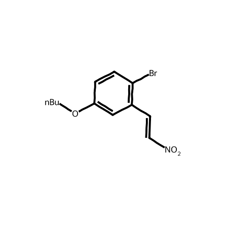 CCCCOc1ccc(Br)c(/C=C/[N+](=O)[O-])c1